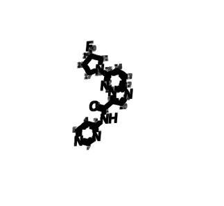 O=C(Nc1ccncn1)c1cnc2ccc(N3CC[C@H](F)C3)nn12